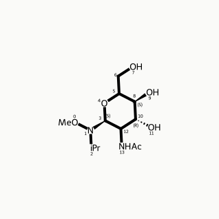 CON(C(C)C)[C@H]1OC(CO)[C@@H](O)[C@H](O)C1NC(C)=O